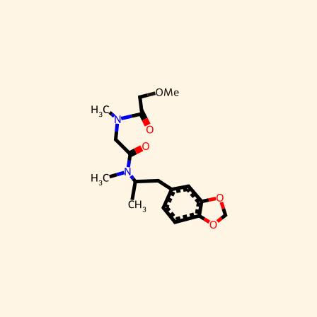 COCC(=O)N(C)CC(=O)N(C)C(C)Cc1ccc2c(c1)OCO2